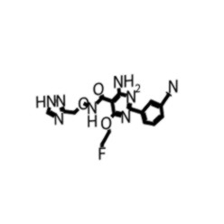 N#Cc1cccc(-c2nc(N)c(C(=O)NOCc3nc[nH]n3)c(OCCF)n2)c1